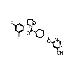 N#Cc1cc(OC[C@H]2CC[C@H](C(=O)N3OCC[C@H]3c3cc(F)cc(F)c3)CC2)ncn1